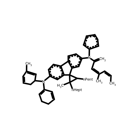 C=C(/C=C(C)\C=C/C)N(c1ccccc1)c1ccc2c(c1)C1(c3cc(N(C4=CCCC=C4)C4C=C(C)C=CC4)ccc3-2)C(CCCCC)C1(C)CCCCCCC